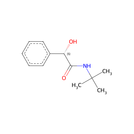 CC(C)(C)NC(=O)[C@@H](O)c1ccccc1